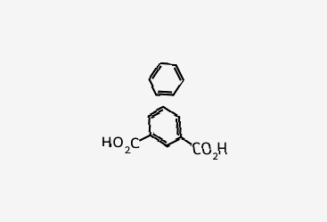 O=C(O)c1cccc(C(=O)O)c1.c1ccccc1